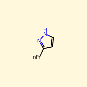 [CH2]CCc1cc[nH]n1